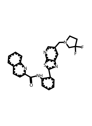 O=C(Nc1ccccc1-c1nc2cc(CN3CCC(F)(F)C3)cnc2s1)c1ccc2ccccc2n1